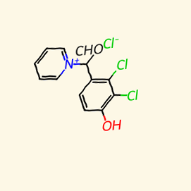 O=CC(c1ccc(O)c(Cl)c1Cl)[n+]1ccccc1.[Cl-]